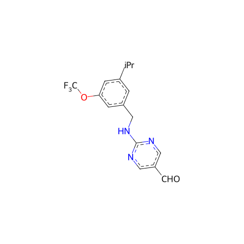 CC(C)c1cc(CNc2ncc(C=O)cn2)cc(OC(F)(F)F)c1